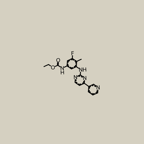 CCOC(=O)Nc1cc(F)c(C)c(Nc2nccc(-c3cccnc3)n2)c1